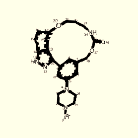 CC(C)N1CCN(c2cc3cc(c2)-c2n[nH]c4ccc(cc24)OCCCNC(=O)OC3)CC1